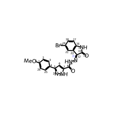 COc1ccc(-c2cc(C(=O)N/N=C3/C(=O)Nc4ccc(Br)cc43)[nH]n2)cc1